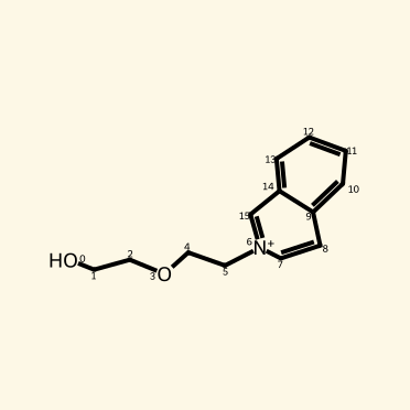 OCCOCC[n+]1ccc2ccccc2c1